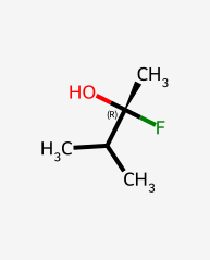 CC(C)[C@](C)(O)F